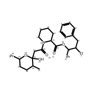 CCC(Cc1ccccc1)C(OC(=O)C1CCCCN1C(=O)CC1(O)OC(C(C)C)CCC1C)C(C)C